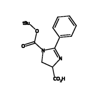 CC(C)(C)OC(=O)N1CC(C(=O)O)N=C1c1ccccc1